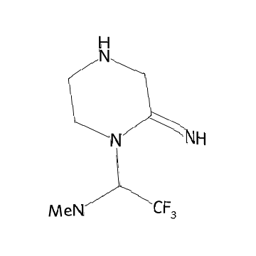 CNC(N1CCNCC1=N)C(F)(F)F